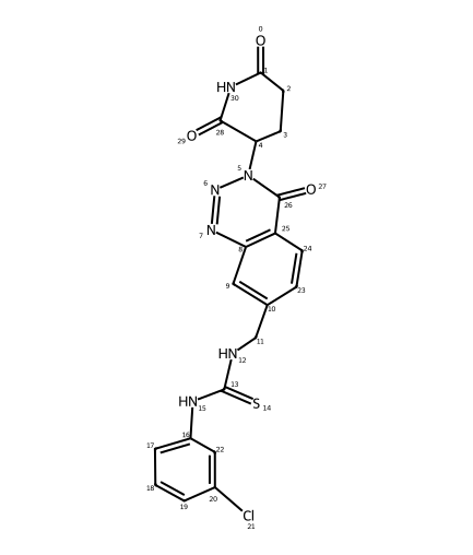 O=C1CCC(n2nnc3cc(CNC(=S)Nc4cccc(Cl)c4)ccc3c2=O)C(=O)N1